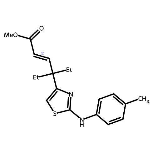 CCC(/C=C/C(=O)OC)(CC)c1csc(Nc2ccc(C)cc2)n1